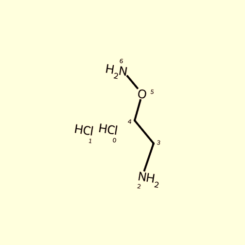 Cl.Cl.NCCON